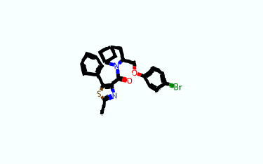 Cc1nc(C(=O)N2C(COc3ccc(Br)cc3)CC3CC2C3)c(-c2ccccc2)s1